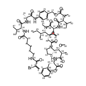 C=C(Br)C(=O)NCCCCCC(=O)N[C@@H](C(=O)N[C@H](C)C(=O)Nc1ccc(COC(=O)N(C)[C@H](C(=O)N[C@H](C(=O)N(C)[C@@H]([C@@H](C)CC)[C@@H](CC(=O)N2CCC[C@H]2[C@H](OC)[C@@H](C)C(=O)N[C@@H](Cc2ccccc2)C(=O)O)OC)C(C)C)C(C)C)cc1)C(C)C